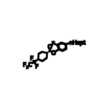 CCCCCCCc1ccc(OC(=O)[C@H]2CC[C@H](C(F)(F)C(F)(F)F)CC2)c(F)c1